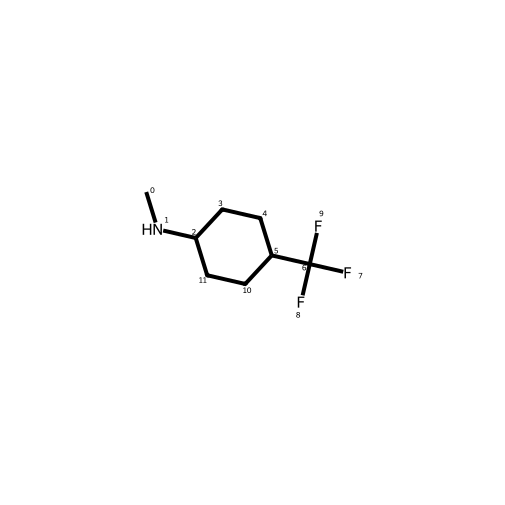 CNC1CCC(C(F)(F)F)CC1